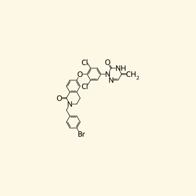 C=C1C=NN(c2cc(Cl)c(Oc3ccc4c(c3)CCN(Cc3ccc(Br)cc3)C4=O)c(Cl)c2)C(=O)N1